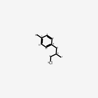 [CH2]c1ccc(CC(C)CCl)cc1